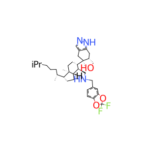 CC(C)CCC[C@@H](C)[C@H]1CC[C@H]2[C@H](CNCc3ccc4c(c3)OC(F)(F)O4)[C@@H]([C@@]3(C)Cc4cn[nH]c4C[C@@H]3CO)CC[C@]12C